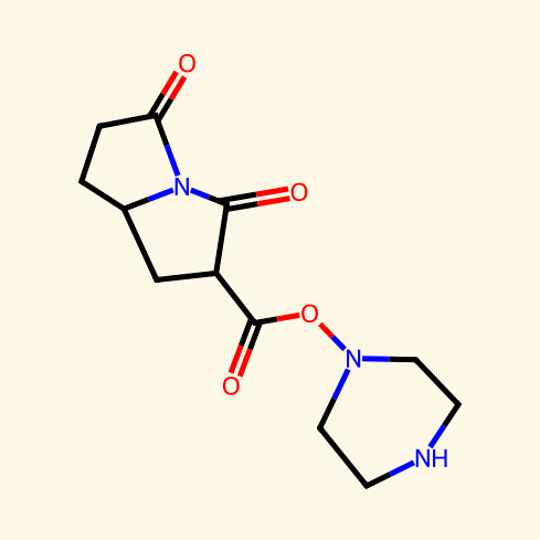 O=C(ON1CCNCC1)C1CC2CCC(=O)N2C1=O